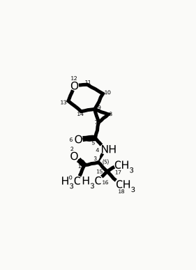 CC(=O)[C@@H](NC(=O)C1CC12CCOCC2)C(C)(C)C